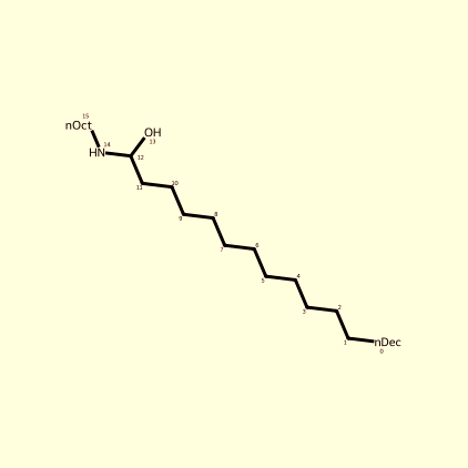 CCCCCCCCCCCCCCCCCCCCCC(O)NCCCCCCCC